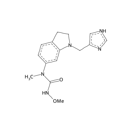 CONC(=O)N(C)c1ccc2c(c1)N(Cc1c[nH]cn1)CC2